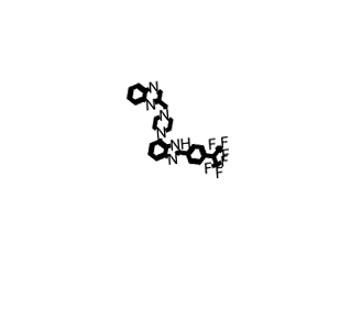 FC(F)(F)C(c1ccc(-c2nc3cccc(N4CCN(Cc5cnc6ccccc6n5)CC4)c3[nH]2)cc1)C(F)(F)F